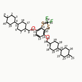 CC1CCC(C2CCC(COc3ccc(OCC4CCC(C5CCC(C)CC5)CC4)c4c3SC(F)(F)S4)CC2)CC1